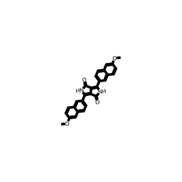 COc1ccc2cc(C3=C4C(=O)NC(c5ccc6cc(OC)ccc6c5)=C4C(=O)N3)ccc2c1